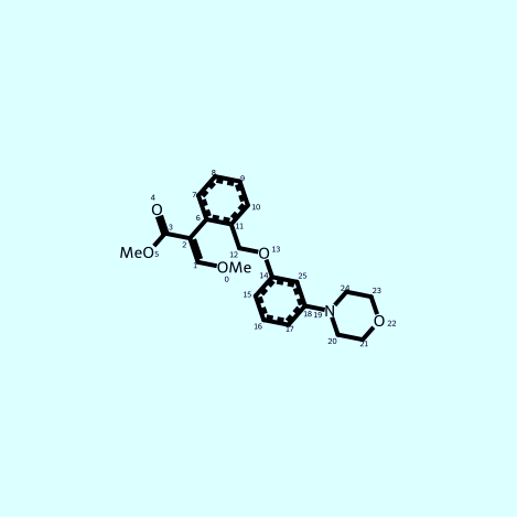 CO/C=C(/C(=O)OC)c1ccccc1COc1cccc(N2CCOCC2)c1